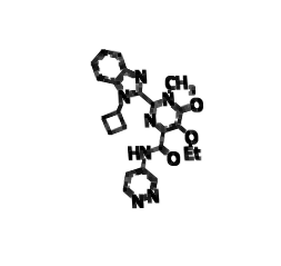 CCOc1c(C(=O)Nc2ccnnc2)nc(-c2nc3ccccc3n2C2CCC2)n(C)c1=O